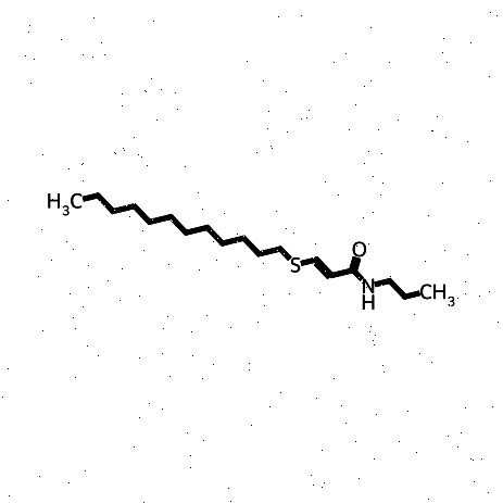 CCCCCCCCCCCCSC=CC(=O)NCCC